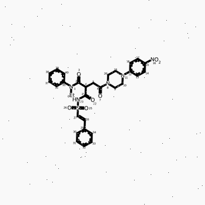 CCN(C(=O)C(CC(=O)N1CCN(c2ccc([N+](=O)[O-])cc2)CC1)C(=O)NS(=O)(=O)C=Cc1ccccc1)c1ccccc1